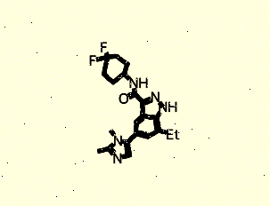 CCc1cc(-c2cnc(C)n2C)cc2c(C(=O)NC3CCC(F)(F)CC3)n[nH]c12